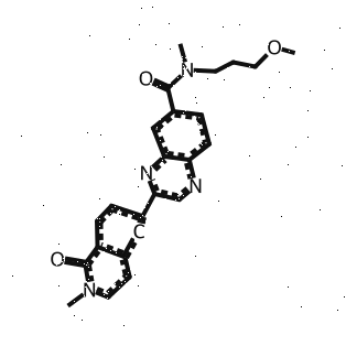 COCCCN(C)C(=O)c1ccc2ncc(-c3ccc4c(=O)n(C)ccc4c3)nc2c1